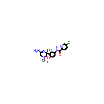 CN1CC(N)=N[C@@](C)(c2cccc(NC(=O)c3ccc(Cl)cn3)c2)C1=O